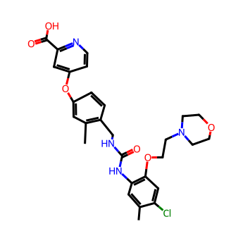 Cc1cc(NC(=O)NCc2ccc(Oc3ccnc(C(=O)O)c3)cc2C)c(OCCN2CCOCC2)cc1Cl